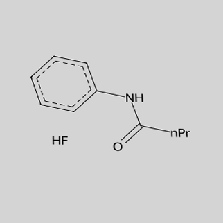 CCCC(=O)Nc1ccccc1.F